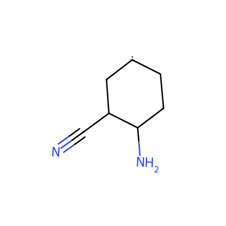 N#CC1C[CH]CCC1N